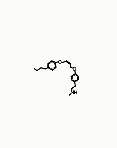 CCCCc1ccc(OC/C=C\COc2ccc(CCNC)cc2)cc1